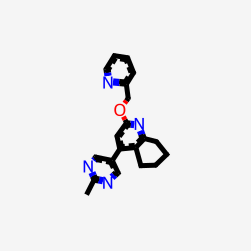 Cc1ncc(-c2cc(OCc3ccccn3)nc3c2CCCC3)cn1